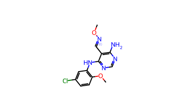 CO/N=C/c1c(N)ncnc1Nc1cc(Cl)ccc1OC